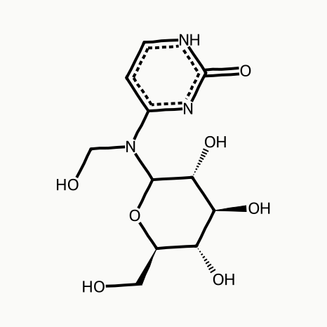 O=c1nc(N(CO)C2O[C@H](CO)[C@@H](O)[C@H](O)[C@H]2O)cc[nH]1